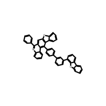 c1ccc(-c2nc3ccccc3c3c(-c4ccc(-c5cccc(-c6cccc7c6oc6ccccc67)c5)cc4)c4c(cc23)oc2ccccc24)cc1